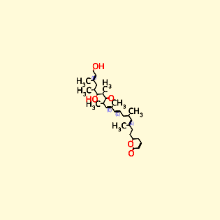 CC(/C=C/CC(C)/C=C(\C)CCC1CC=CC(=O)O1)=C\C(C)C(=O)C(C)C(O)C(C)C/C(C)=C/CO